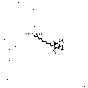 CCCCCCCCNCC(O)CCCCCCCn1c(=O)c2c(ncn2C)n(C)c1=O